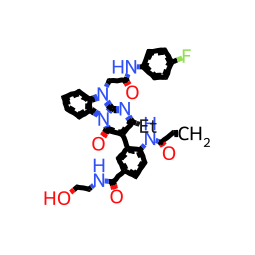 C=CC(=O)Nc1ccc(C(=O)NCCO)cc1-c1c(CC)nc2n(CC(=O)Nc3ccc(F)cc3)c3ccccc3n2c1=O